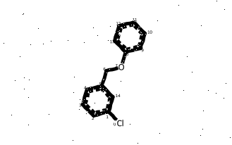 Clc1cccc(COc2c[c]ccc2)c1